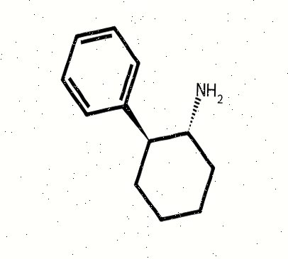 N[C@@H]1CCCC[C@H]1c1ccccc1